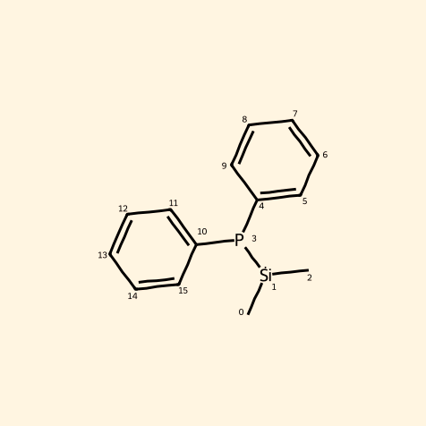 C[Si](C)P(c1ccccc1)c1ccccc1